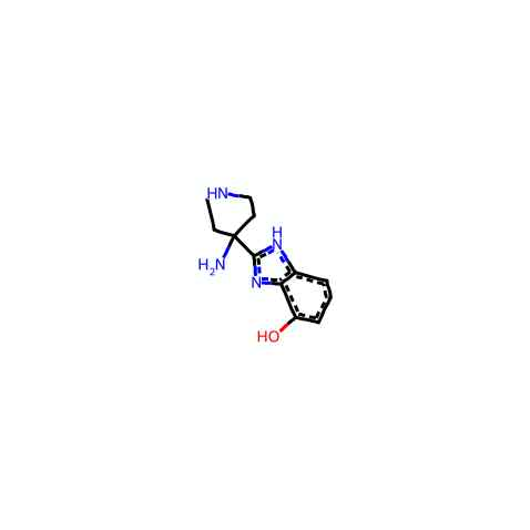 NC1(c2nc3c(O)cccc3[nH]2)CCNCC1